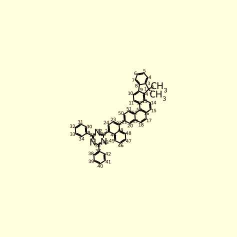 CC1(C)c2ccccc2-c2ccc3c(ccc4ccc5cc(-c6ccc(-c7nc(-c8ccccc8)nc(-c8ccccc8)n7)c7ccccc67)ccc5c43)c21